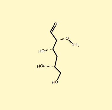 NO[C@@H](C=O)[C@@H](O)C[C@@H](O)CO